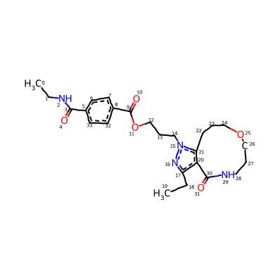 CCNC(=O)c1ccc(C(=O)OCCCn2nc(CC)c3c2CCCOCCCNC3=O)cc1